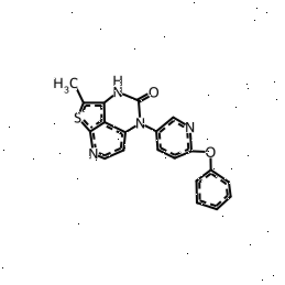 Cc1sc2nccc3c2c1NC(=O)N3c1ccc(Oc2ccccc2)nc1